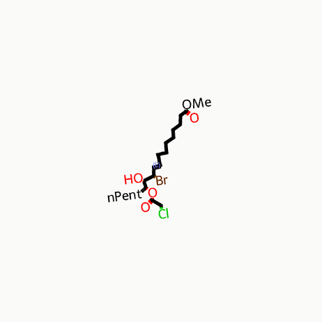 CCCCCC(OC(=O)CCl)C(O)C(Br)/C=C/CCCCCCCC(=O)OC